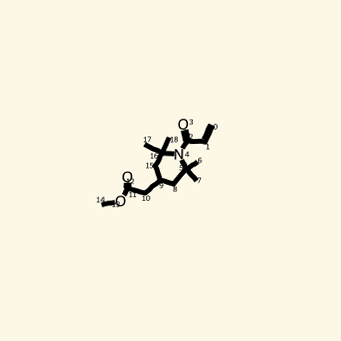 C=CC(=O)N1C(C)(C)CC(CC(=O)OC)CC1(C)C